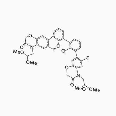 COC(CN1C(=O)COc2cc(-c3cccc(-c4cccc(-c5cc6c(cc5F)N(CC(OC)OC)C(=O)CO6)c4Cl)c3Cl)c(F)cc21)OC